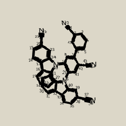 N#Cc1cccc(-c2cc(-n3c4ccccc4c4ccc(C#N)cc43)c(-n3c4ccccc4c4ccc(C#N)cc43)cc2C#N)c1